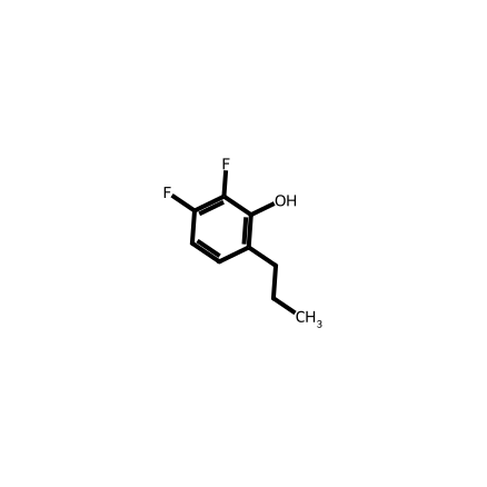 CCCc1ccc(F)c(F)c1O